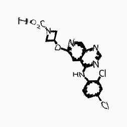 O=C(O)N1CC(Oc2cc3c(Nc4ccc(Cl)cc4Cl)ncnc3cn2)C1